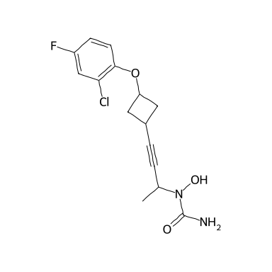 CC(C#CC1CC(Oc2ccc(F)cc2Cl)C1)N(O)C(N)=O